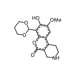 COc1cc2c3c(c(=O)oc2c(C2OCCCO2)c1O)CNCC3